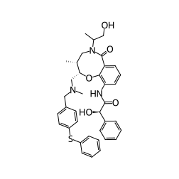 CC(CO)N1C[C@@H](C)[C@@H](CN(C)Cc2ccc(Sc3ccccc3)cc2)Oc2c(NC(=O)[C@H](O)c3ccccc3)cccc2C1=O